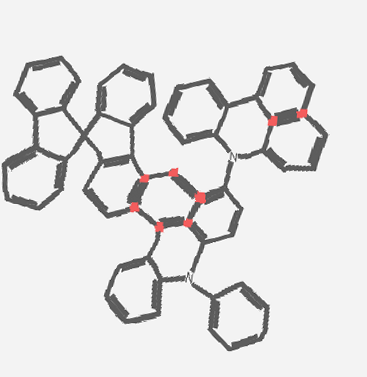 c1ccc(-c2ccccc2N(c2ccccc2)c2ccc(N(c3ccccc3)c3ccccc3-c3ccccc3)c3c2Oc2ccc4c(c2O3)-c2ccccc2C42c3ccccc3-c3ccccc32)cc1